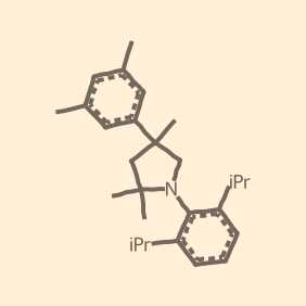 Cc1cc(C)cc(C2(C)CN(c3c(C(C)C)cccc3C(C)C)C(C)(C)C2)c1